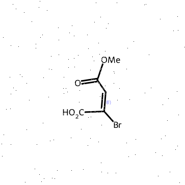 COC(=O)/C=C(/Br)C(=O)O